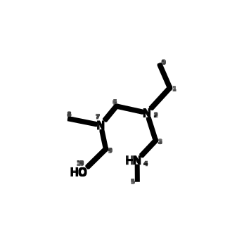 CCN(CNC)CN(C)CO